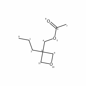 CCCC1(COC(C)=O)COC1